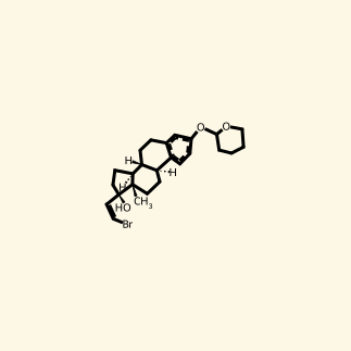 C[C@]12CC[C@@H]3c4ccc(OC5CCCCO5)cc4CC[C@H]3[C@@H]1CC[C@@]2(O)/C=C\Br